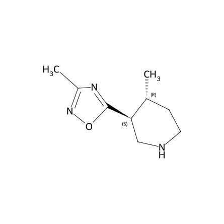 Cc1noc([C@@H]2CNCC[C@H]2C)n1